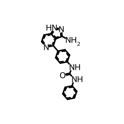 Nc1n[nH]c2ccnc(-c3ccc(NC(=O)Nc4ccccc4)cc3)c12